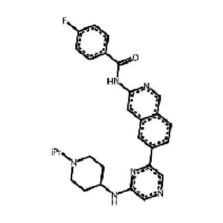 CC(C)N1CCC(Nc2cncc(-c3ccc4cnc(NC(=O)c5ccc(F)cc5)cc4c3)n2)CC1